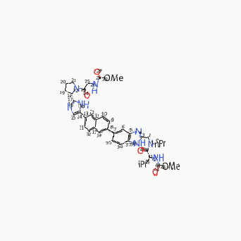 CCCN(Cc1nc2cc(-c3ccc4cc(-c5cnc([C@@H]6CCCN6C(=O)CNC(=O)OC)[nH]5)ccc4c3)ccc2[nH]1)C(=O)[C@@H](NC(=O)OC)C(C)C